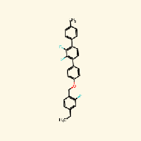 CCc1ccc(COc2ccc(-c3ccc(-c4ccc(C)cc4)c(F)c3F)cc2)c(F)c1